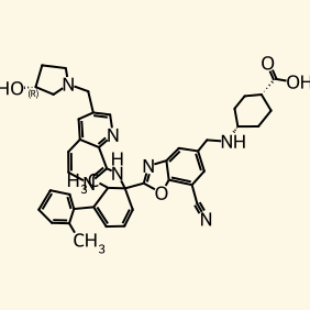 Cc1ccccc1C1=CC=CC(Nc2nccc3cc(CN4CC[C@@H](O)C4)cnc23)(c2nc3cc(CN[C@H]4CC[C@@H](C(=O)O)CC4)cc(C#N)c3o2)C1C